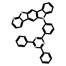 c1ccc(-c2nc(-c3ccccc3)nc(-c3cccc(-n4c5ccccc5c5cc6sc7ncccc7c6cc54)c3)n2)cc1